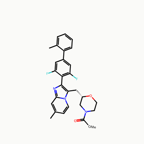 COC(=O)N1CCO[C@@H](Cc2c(-c3c(F)cc(-c4ccccc4C)cc3F)nc3cc(C)ccn23)C1